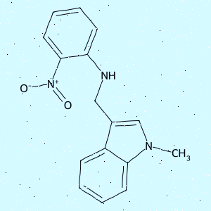 Cn1cc(CNc2ccccc2[N+](=O)[O-])c2ccccc21